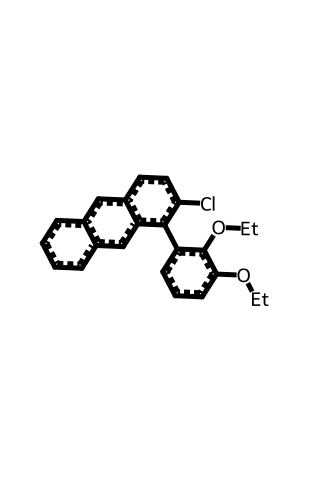 CCOc1cccc(-c2c(Cl)ccc3cc4ccccc4cc23)c1OCC